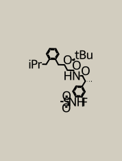 CC(C)Cc1ccccc1CC(CCNC(=O)[C@H](C)c1ccc(NS(C)(=O)=O)c(F)c1)OC(=O)C(C)(C)C